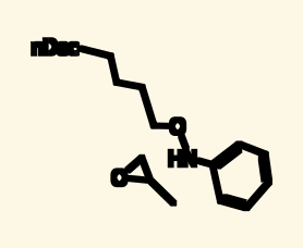 CC1CO1.CCCCCCCCCCCCCCONc1ccccc1